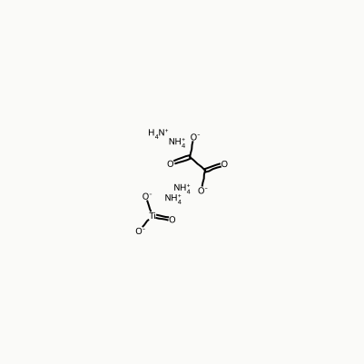 O=C([O-])C(=O)[O-].[NH4+].[NH4+].[NH4+].[NH4+].[O]=[Ti]([O-])[O-]